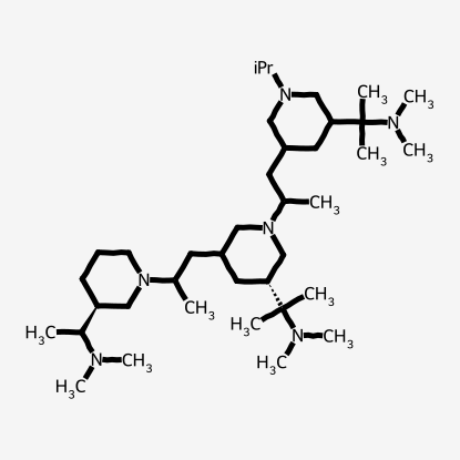 CC([C@H]1CCCN(C(C)CC2C[C@@H](C(C)(C)N(C)C)CN(C(C)CC3CC(C(C)(C)N(C)C)CN(C(C)C)C3)C2)C1)N(C)C